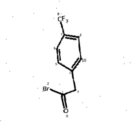 O=C(Br)Cc1ccc(C(F)(F)F)cc1